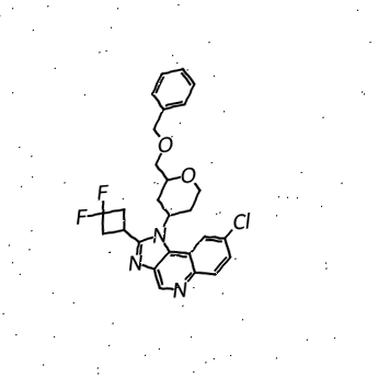 FC1(F)CC(c2nc3cnc4ccc(Cl)cc4c3n2C2CCOC(COCc3ccccc3)C2)C1